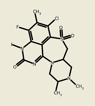 Cc1c(Cl)c2c3c(nc(=O)n(I)c3c1F)N1CC(C)N(C)CC1CS2(=O)=O